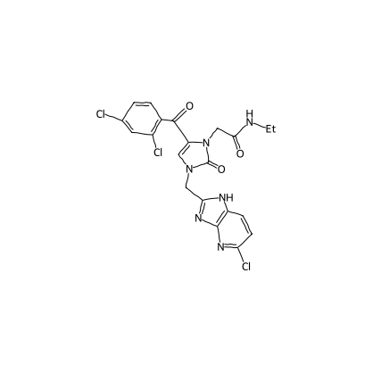 CCNC(=O)Cn1c(C(=O)c2ccc(Cl)cc2Cl)cn(Cc2nc3nc(Cl)ccc3[nH]2)c1=O